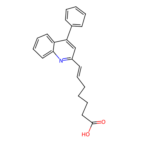 O=C(O)CCCC/C=C/c1cc(-c2ccccc2)c2ccccc2n1